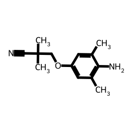 Cc1cc(OCC(C)(C)C#N)cc(C)c1N